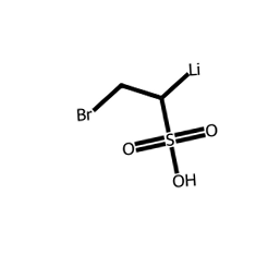 [Li][CH](CBr)S(=O)(=O)O